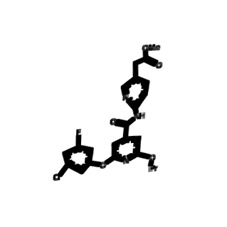 COC(=O)Cc1ccc(NC(=O)c2cc(Oc3cc(F)cc(Cl)c3)nc(OC(C)C)c2)nc1